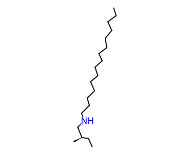 CCCCCCCCCCCCCCCNC[C@H](C)CC